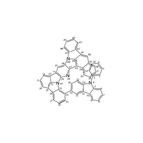 c1ccc(-n2c3ccccc3c3cc(-c4cccc5c6cccc7c8cc9c(nc8n(c45)c76)c4c5ccccc5cc5c6ccccc6n9c54)ccc32)cc1